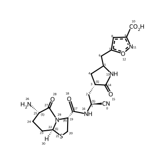 N#C[C@H](C[C@@H]1CC(Cc2cc(C(=O)O)no2)NC1=O)NC(=O)[C@@H]1CS[C@H]2CC[C@H](N)C(=O)N21